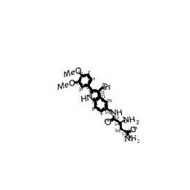 COc1ccc(-c2[nH]c3ccc(NC(=O)[C@@H](N)CC(N)=O)cc3c2C(C)C)cc1OC